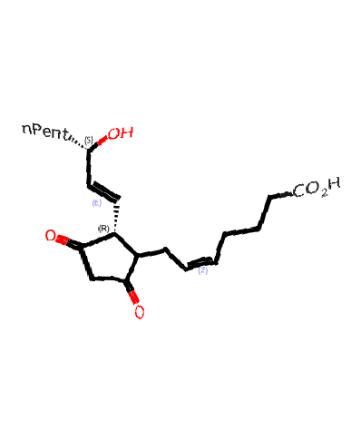 CCCCC[C@H](O)/C=C/[C@H]1C(=O)CC(=O)C1C/C=C\CCCC(=O)O